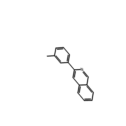 Cc1cccc(-c2cc3ccccc3cn2)c1